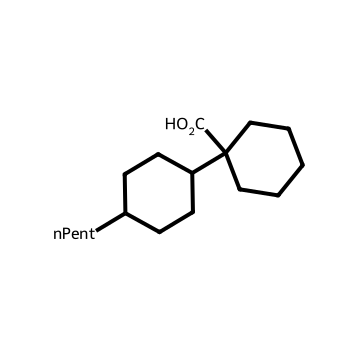 CCCCCC1CCC(C2(C(=O)O)CCCCC2)CC1